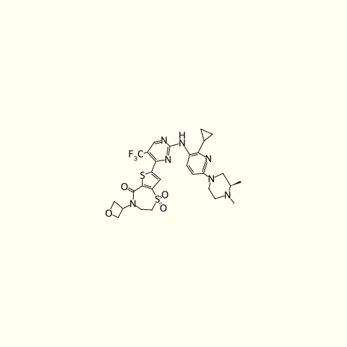 C[C@@H]1CN(c2ccc(Nc3ncc(C(F)(F)F)c(-c4cc5c(s4)C(=O)N(C4COC4)CCS5(=O)=O)n3)c(C3CC3)n2)CCN1C